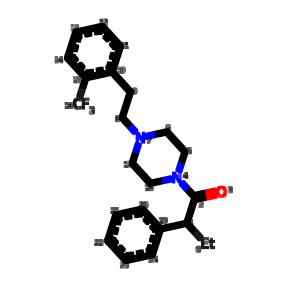 CCC(C(=O)N1CCN(CCc2ccccc2C(F)(F)F)CC1)c1ccccc1